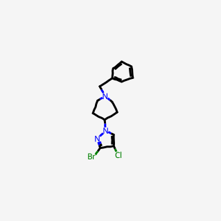 Clc1cn(C2CCN(Cc3ccccc3)CC2)nc1Br